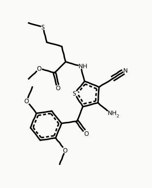 COC(=O)C(CCSC)Nc1sc(C(=O)c2cc(OC)ccc2OC)c(N)c1C#N